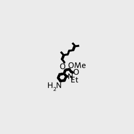 CCn1c(=O)c(OC)c(OCC=C(C)CCC=C(C)C)c2ccc(N)cc21